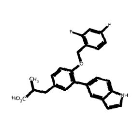 CC(Cc1ccc(OCc2ccc(F)cc2F)c(-c2ccc3[nH]ccc3c2)c1)C(=O)O